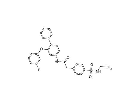 CCNS(=O)(=O)c1ccc(CC(=O)Nc2ccc(-c3ccccc3)c(Oc3cccc(F)c3)c2)cc1